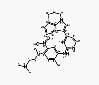 Cc1cc(N(C)CCN(C)C)c([N+](=O)[O-])cc1Nc1nccc(-c2cn3c4c(cccc24)CCC3)n1